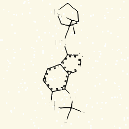 FC(F)(F)Oc1c(Cl)ccc2c(N[C@@H]3CN4CCC3CC4)noc12